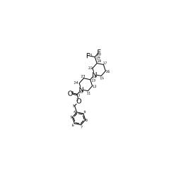 O=C(OCc1ccccc1)N1CCC(N2CCCC(C(F)F)C2)CC1